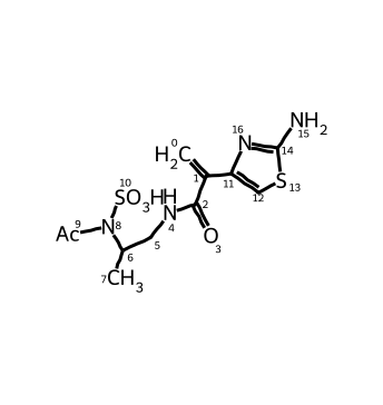 C=C(C(=O)NCC(C)N(C(C)=O)S(=O)(=O)O)c1csc(N)n1